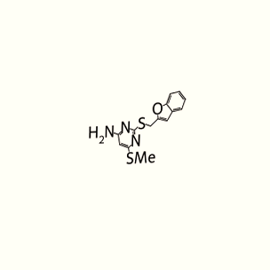 CSc1cc(N)nc(SCc2cc3ccccc3o2)n1